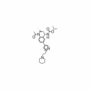 CC(=O)N1c2ccc(-c3cnn(CCN4CCCCC4)c3)cc2C(NC(=O)OC(C)C)C[C@H]1C